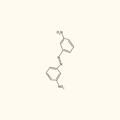 O=[N+]([O-])c1cccc(/N=N/c2cccc([N+](=O)[O-])c2)c1